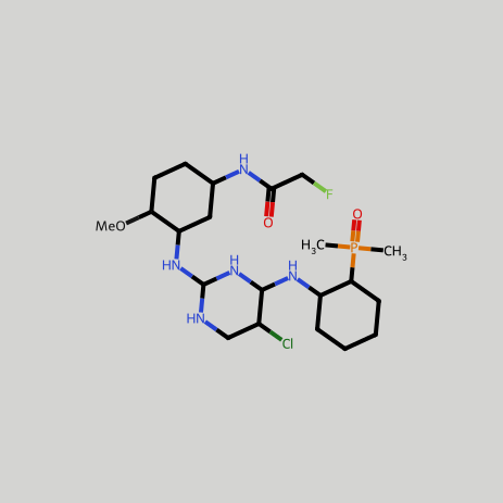 COC1CCC(NC(=O)CF)CC1NC1NCC(Cl)C(NC2CCCCC2P(C)(C)=O)N1